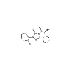 CCCN(C(=O)n1nnn(-c2ccccc2Cl)c1=O)C1CCCCC1